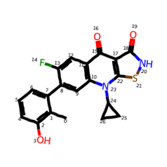 Cc1c(O)cccc1-c1cc2c(cc1F)c(=O)c1c(=O)[nH]sc1n2C1CC1